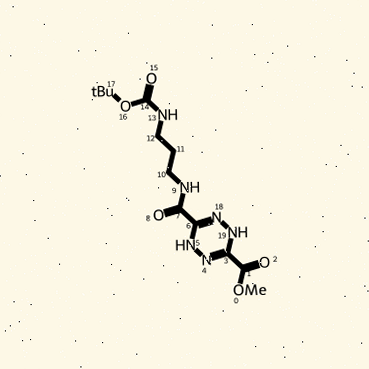 COC(=O)C1=NNC(C(=O)NCCCNC(=O)OC(C)(C)C)=NN1